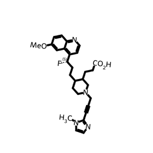 COc1ccc2nccc([C@@H](F)CCC3CCN(CC#Cc4nccn4C)CC3CCC(=O)O)c2c1